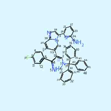 CN(/C=C(\C(=N)c1ccc(F)cc1)c1ccc2ncc(-c3cccc(N)n3)n2c1)C(c1ccccc1)(c1ccccc1)c1ccccc1